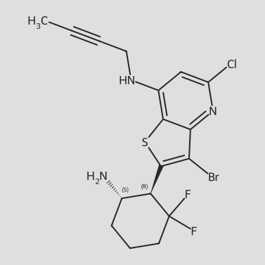 CC#CCNc1cc(Cl)nc2c(Br)c([C@@H]3[C@@H](N)CCCC3(F)F)sc12